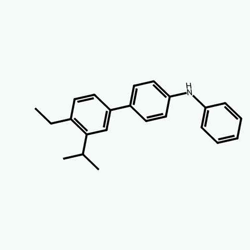 CCc1ccc(-c2ccc(Nc3ccccc3)cc2)cc1C(C)C